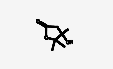 CC1(O)CC(=O)OC1(C)C